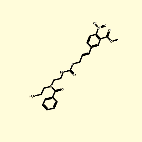 COC(=O)c1cc(/C=C/COC(=O)NCCN(CCN)C(=O)c2ccccc2)ccc1[N+](=O)[O-]